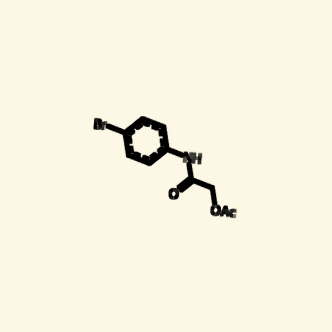 CC(=O)OCC(=O)Nc1ccc(Br)cc1